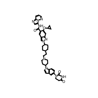 O=C1CCN(c2ccc3c(ccn3C3CCN(CCC4CCC(n5cc6cc(C(=O)Nc7cnc8cccnn78)c(OC7CC7)cc6n5)CC4)CC3)c2)C(=O)N1